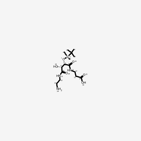 CC(C)(C)[Si](C)(C)O[C@H](C(=O)NCCC(=O)O)[C@@H](O)C(=O)NCCN